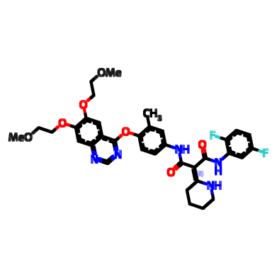 COCCOc1cc2ncnc(Oc3ccc(NC(=O)/C(C(=O)Nc4cc(F)ccc4F)=C4\CCCCN4)cc3C)c2cc1OCCOC